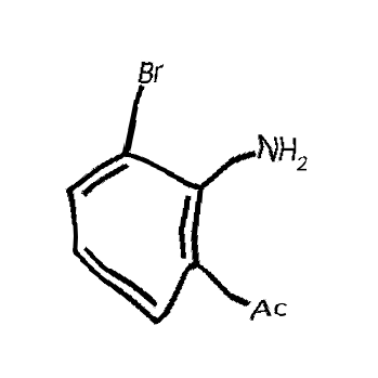 CC(=O)c1cccc(Br)c1N